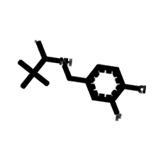 [CH2]C(NCc1ccc(Cl)c(F)c1)C(C)(C)C